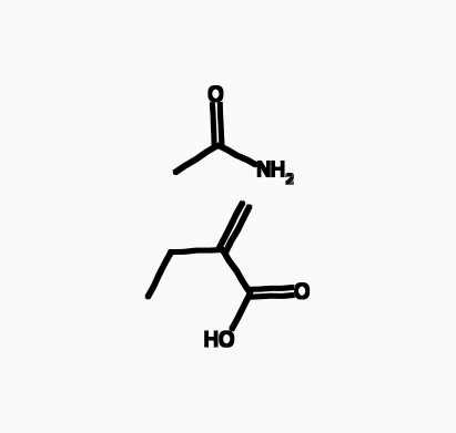 C=C(CC)C(=O)O.CC(N)=O